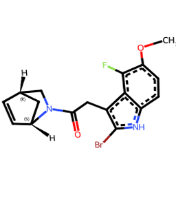 COc1ccc2[nH]c(Br)c(CC(=O)N3C[C@H]4C=C[C@@H]3C4)c2c1F